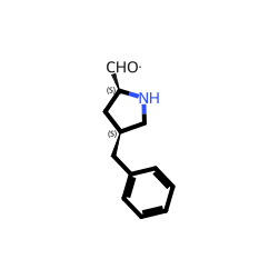 O=[C][C@@H]1C[C@H](Cc2ccccc2)CN1